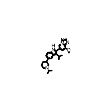 COc1cc(-c2[nH]c3ccc(C4CCCN(C(C)C)C4)cc3c2C(C)C)cn2ncnc12